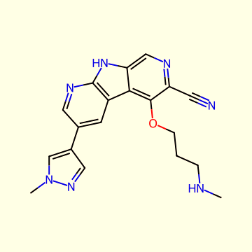 CNCCCOc1c(C#N)ncc2[nH]c3ncc(-c4cnn(C)c4)cc3c12